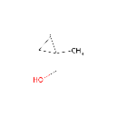 CC1(CO)[CH]C1